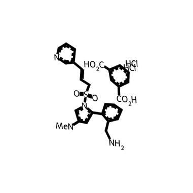 CNc1cc(-c2ccccc2CN)n(S(=O)(=O)CC=Cc2cccnc2)c1.Cl.Cl.O=C(O)c1cccc(C(=O)O)c1